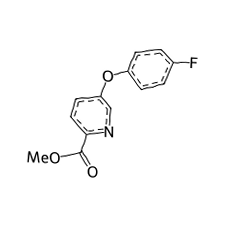 COC(=O)c1ccc(Oc2ccc(F)cc2)cn1